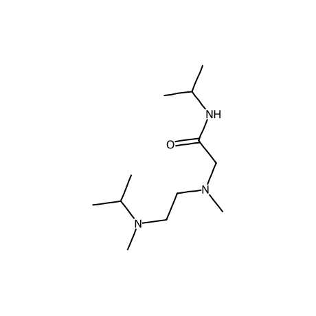 CC(C)NC(=O)CN(C)CCN(C)C(C)C